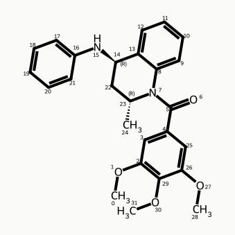 COc1cc(C(=O)N2c3ccccc3[C@H](Nc3ccccc3)C[C@H]2C)cc(OC)c1OC